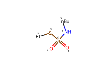 [CH2]CCCNS(=O)(=O)SCC